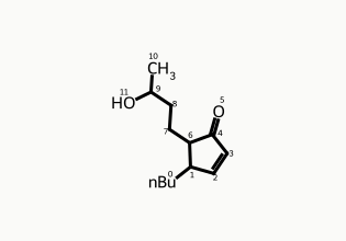 CCCCC1C=CC(=O)C1CCC(C)O